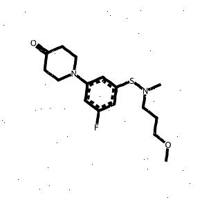 COCCCN(C)Sc1cc(F)cc(N2CCC(=O)CC2)c1